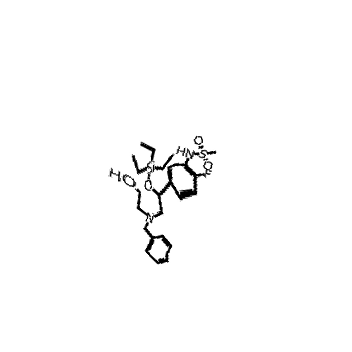 CC[Si](CC)(CC)OC(CN(CCO)Cc1ccccc1)c1ccc(F)c(NS(C)(=O)=O)c1